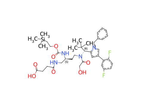 CC(C)(C)[C@H](c1cc(-c2cc(F)ccc2F)cn1Cc1ccccc1)N(CC[C@@H](CNC(=O)CCC(=O)O)NC(=O)OCC[Si](C)(C)C)C(=O)CO